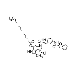 CCCCCCCCCCCCCC(=O)Oc1cc2c(c3c(C)c[nH]c13)[C@H](CCl)CN2C(=O)c1cc2cc(NC(=O)c3cc4ccccc4o3)ccc2[nH]1